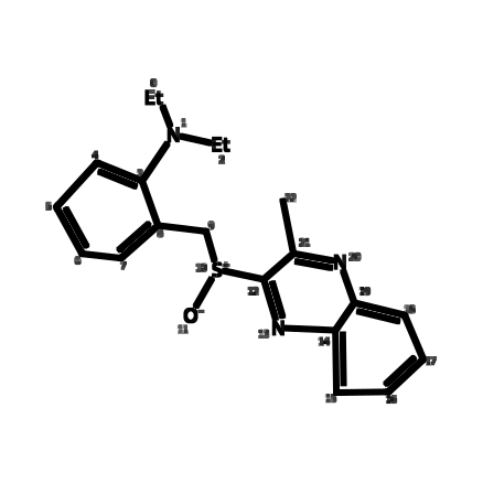 CCN(CC)c1ccccc1C[S+]([O-])c1nc2ccccc2nc1C